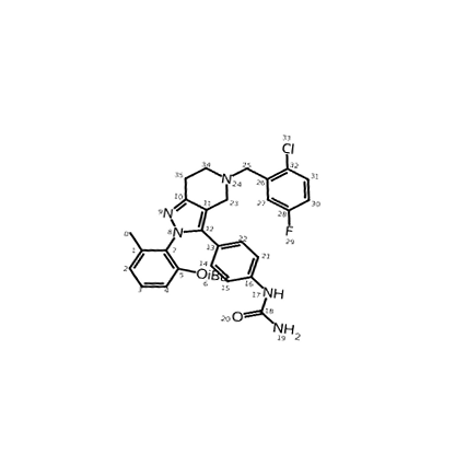 Cc1cccc(OCC(C)C)c1-n1nc2c(c1-c1ccc(NC(N)=O)cc1)CN(Cc1cc(F)ccc1Cl)CC2